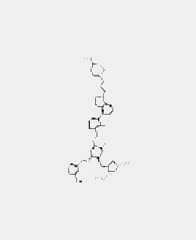 Cc1c(COc2cc(OCc3cncc(C#N)c3)c(CN3C[C@H](O)C[C@@H]3C(=O)O)cc2Cl)cccc1-c1cccc2c1CCN2CCCN1CCC(O)CC1